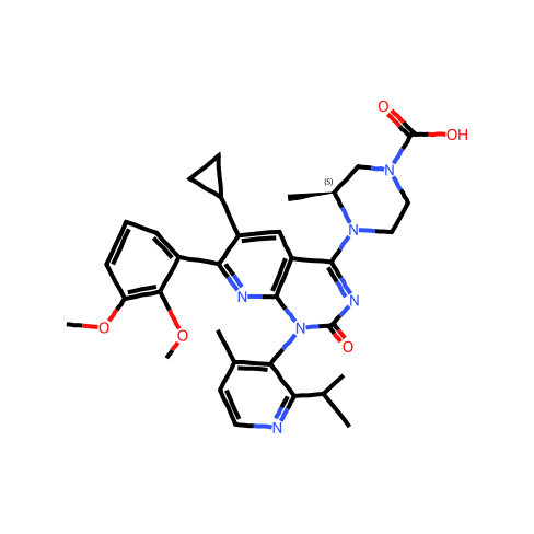 COc1cccc(-c2nc3c(cc2C2CC2)c(N2CCN(C(=O)O)C[C@@H]2C)nc(=O)n3-c2c(C)ccnc2C(C)C)c1OC